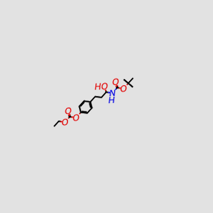 CCOC(=O)Oc1ccc(CCC(O)NC(=O)OC(C)(C)C)cc1